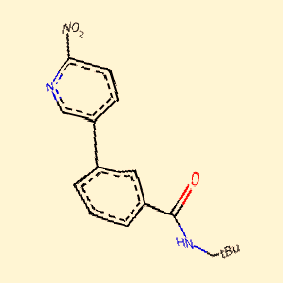 CC(C)(C)NC(=O)c1cccc(-c2ccc([N+](=O)[O-])nc2)c1